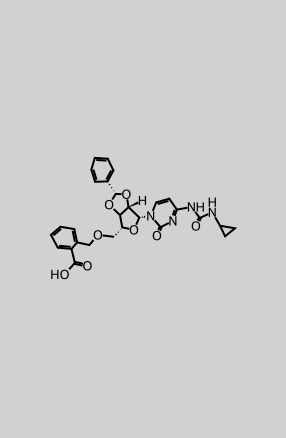 O=C(Nc1ccn([C@@H]2O[C@H](COCc3ccccc3C(=O)O)C3O[C@H](c4ccccc4)O[C@@H]32)c(=O)n1)NC1CC1